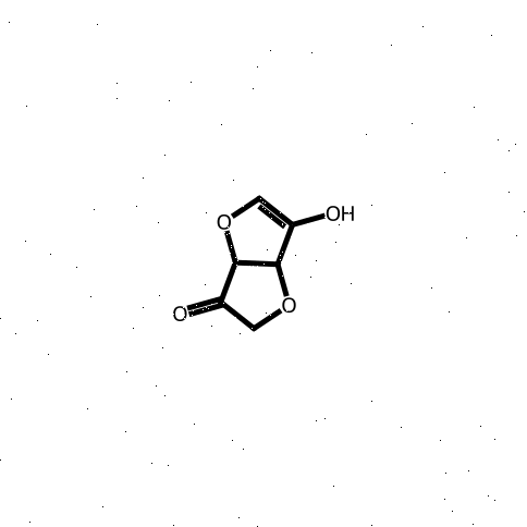 O=C1COC2C(O)=COC12